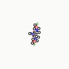 Fc1cccc2c1oc1c(N(c3ccccc3)c3cc4c(c5ccccc35)-c3c(cc(N(c5ccccc5)c5cccc6c5oc5c(F)cccc56)c5ccccc35)C43c4ccccc4N(c4ccccc4)c4ccccc43)cccc12